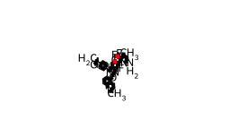 C=CC(=O)N1CCN(c2nc(Oc3cccc4c3CCN(C)C4)nc3c(F)c(-c4nc(N)cc(C)c4C(F)(F)F)c(Cl)cc23)CC1